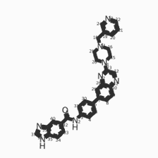 O=C(Nc1ccc(-c2ccc3ncc(N4CCN(Cc5cccnc5)CC4)nc3c2)cc1)c1ccc2[nH]cnc2c1